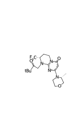 C[C@@H]1COCCN1c1cc(=O)n2c(n1)N(CC(=O)C(C)(C)C)[C@H](C(F)(F)F)CC2